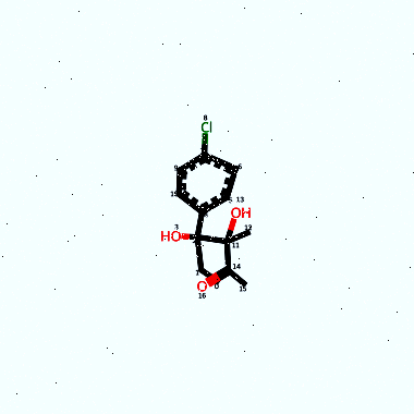 CCC(O)(c1ccc(Cl)cc1)C(C)(O)C(C)=O